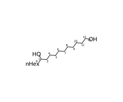 CCCCCCC(O)CCCCCCCCCCO